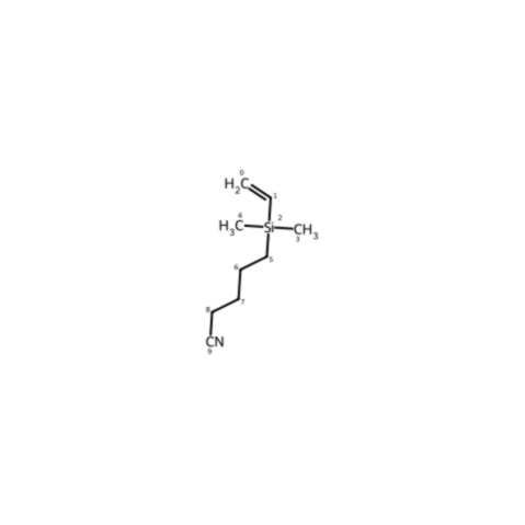 C=C[Si](C)(C)CCCCC#N